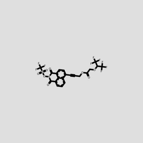 O=C(COC(C(F)(F)F)C(F)(F)F)OCC#Cc1ccc2c3c(cccc13)C(=O)N(OS(=O)(=O)C(F)(F)F)C2=O